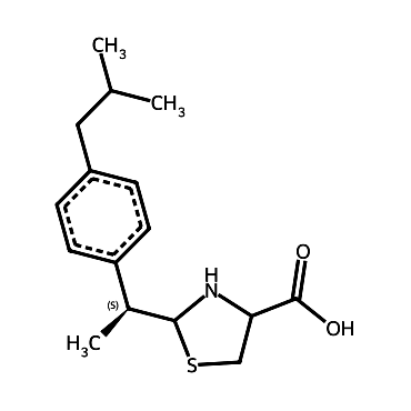 CC(C)Cc1ccc([C@H](C)C2NC(C(=O)O)CS2)cc1